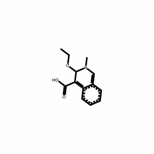 CCOC1C(C(=O)O)=c2ccccc2=CN1C